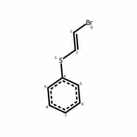 BrC=CSc1ccccc1